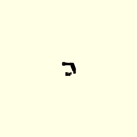 [Na+].[O-]C=S